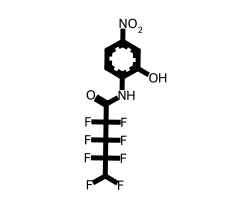 O=C(Nc1ccc([N+](=O)[O-])cc1O)C(F)(F)C(F)(F)C(F)(F)C(F)F